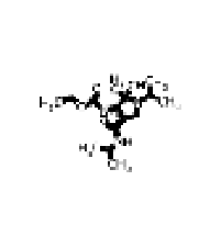 CCOC(=O)n1nc(NC(C)C)c2c1C(C)(C)N(C(C)C)C2